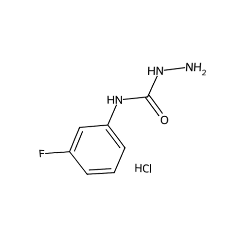 Cl.NNC(=O)Nc1cccc(F)c1